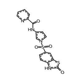 O=C(Nc1ccn(S(=O)(=O)c2ccc3[nH]c(=O)sc3c2)c1)c1ccccn1